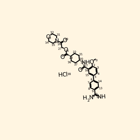 COc1ccc(-c2ccc(C(=N)N)cc2)cc1C(=O)N[C@H]1CC[C@H](C(=O)OCC(=O)N2CCOCC2)CC1.Cl